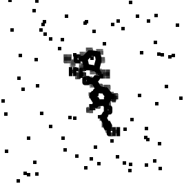 C#CCOc1c(F)cc(C(=O)NC2CCCC(C)C2C)cc1F